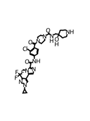 Cn1c(-c2cn(C3CC3)nc2C(F)(F)F)cnc1C(=O)Nc1ccc(C(=O)N2CCN(C(=O)NCC3(O)CCNCC3)CC2)c(Cl)c1